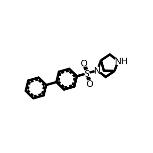 O=S(=O)(c1ccc(-c2ccccc2)cc1)N1CC2CC1CN2